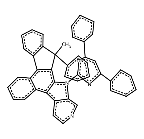 CC1(c2ccccc2)c2ccccc2-c2c1c1c(c3ccccc23)c2ccncc2n1-c1nc(-c2ccccc2)cc(-c2ccccc2)n1